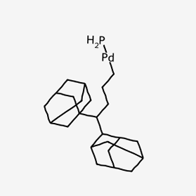 [PH2][Pd][CH2]CCC(C1C2CC3CC(C2)CC1C3)C12CC3CC(CC(C3)C1)C2